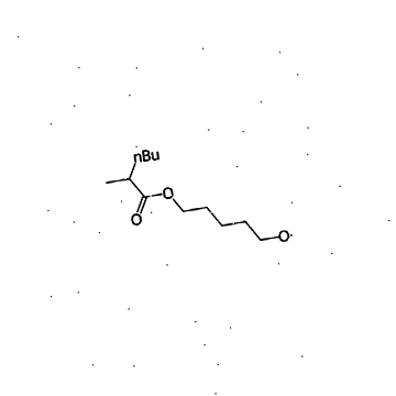 CCCCC(C)C(=O)OCCCCC[O]